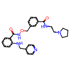 O=C(NCCN1CCCC1)c1cccc(CONC(=O)c2ccccc2NCc2ccncc2)c1